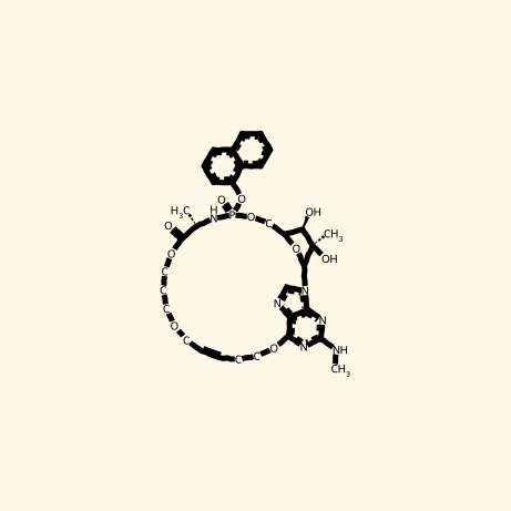 CNc1nc2c3ncn(c3n1)C1OC(COP(=O)(Oc3cccc4ccccc34)N[C@@H](C)C(=O)OCCCOCC=CCCO2)[C@@H](O)[C@@]1(C)O